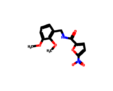 COc1cccc(CNC(=O)c2ccc([N+](=O)[O-])o2)c1OC